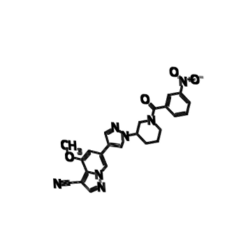 COc1cc(-c2cnn(C3CCCN(C(=O)c4cccc([N+](=O)[O-])c4)C3)c2)cn2ncc(C#N)c12